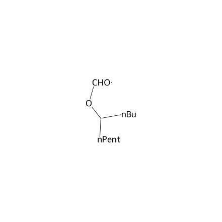 CCCCCC(CCCC)O[C]=O